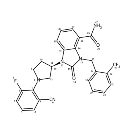 N#Cc1cccc(F)c1N1CC[C@@H](n2c(=O)n(Cc3ccccc3C(F)(F)F)c3c(C(N)=O)cccc32)C1